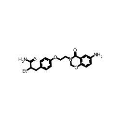 CCC(Cc1ccc(OCCN2COc3ccc(N)cc3C2=O)cc1)C(N)=S